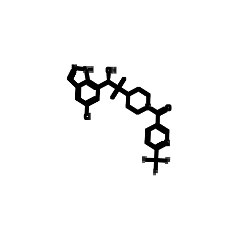 CC(C)(C1CCN(C(=O)c2ccc(C(F)(F)F)nc2)CC1)[C@H](O)c1cc(Cl)cc2cn[nH]c12